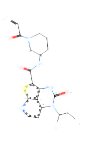 C=CC(=O)N1CCCC(NC(=O)c2sc3nccc4c3c2NC(=O)N4C(C)CC)C1